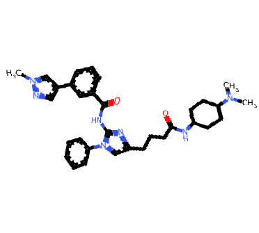 CN(C)C1CCC(NC(=O)CCCc2cn(-c3ccccc3)c(NC(=O)c3cccc(-c4cnn(C)c4)c3)n2)CC1